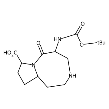 CC(C)(C)OC(=O)NC1CNCCC2CCC(C(=O)O)N2C1=O